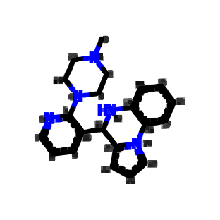 CN1CCN(c2ncccc2C2Nc3ccccc3-n3cccc32)CC1